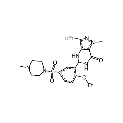 CCCc1nn(C)c2c1NC(c1cc(S(=O)(=O)N3CCN(C)CC3)ccc1OCC)NC2=O